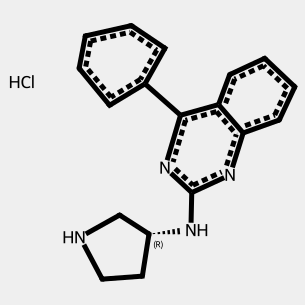 Cl.c1ccc(-c2nc(N[C@@H]3CCNC3)nc3ccccc23)cc1